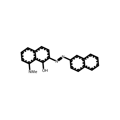 CNc1cccc2ccc(/N=N/c3ccc4ccccc4c3)c(O)c12